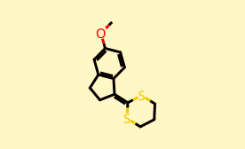 COc1ccc2c(c1)CCC2=C1SCCCS1